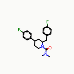 CN(C)C(=O)N1CCC(c2ccc(F)cc2)CC1Cc1ccc(F)cc1